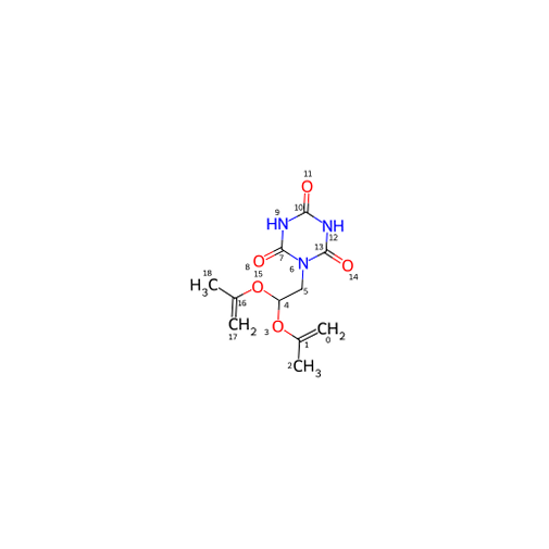 C=C(C)OC(Cn1c(=O)[nH]c(=O)[nH]c1=O)OC(=C)C